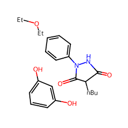 CCCCC1C(=O)NN(c2ccccc2)C1=O.CCOCC.Oc1cccc(O)c1